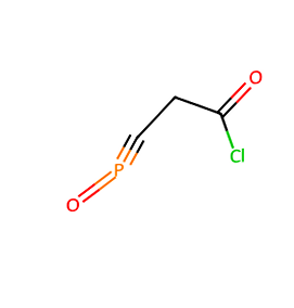 O=P#CCC(=O)Cl